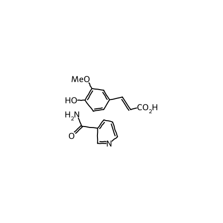 COc1cc(C=CC(=O)O)ccc1O.NC(=O)c1cccnc1